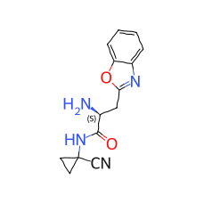 N#CC1(NC(=O)[C@@H](N)Cc2nc3ccccc3o2)CC1